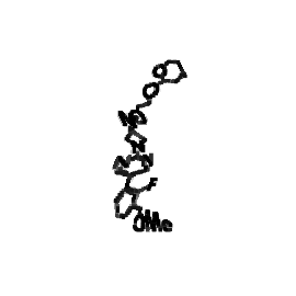 COCc1cccc(-c2cnc(N3CC(=NOCCOC4CCCCO4)C3)nc2)c1F